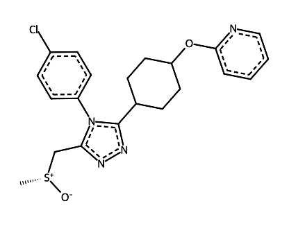 C[S@@+]([O-])Cc1nnc(C2CCC(Oc3ccccn3)CC2)n1-c1ccc(Cl)cc1